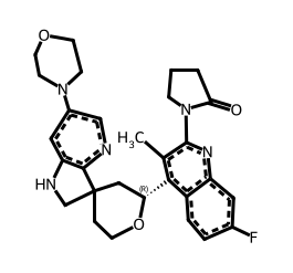 Cc1c(N2CCCC2=O)nc2cc(F)ccc2c1[C@H]1CC2(CCO1)CNc1cc(N3CCOCC3)cnc12